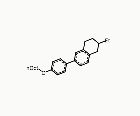 CCCCCCCCOc1ccc(-c2ccc3c(c2)CCC(CC)C3)cc1